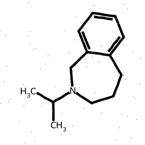 CC(C)N1CCCc2ccccc2C1